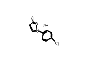 [Na+].[O-]c1ccn(-c2ccc(Cl)cc2)n1